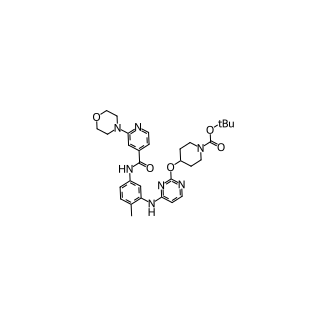 Cc1ccc(NC(=O)c2ccnc(N3CCOCC3)c2)cc1Nc1ccnc(OC2CCN(C(=O)OC(C)(C)C)CC2)n1